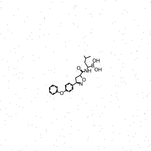 CC(C)CC(NC(=O)C1CC(c2ccc(Oc3ccccc3)cc2)=NO1)B(O)O